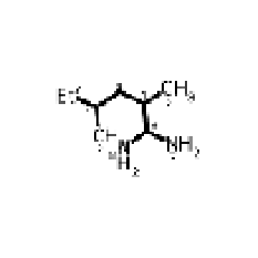 CCC(C)CC(C)C(N)N